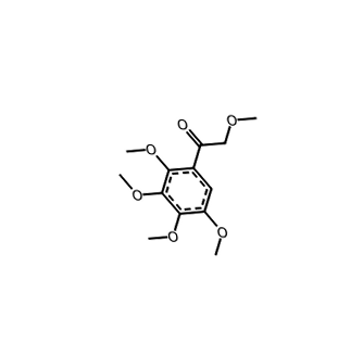 COCC(=O)c1cc(OC)c(OC)c(OC)c1OC